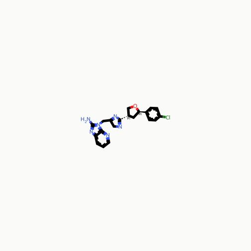 Nc1nc2cccnc2n1CC1=NC([C@@H]2CO[C@@H](c3ccc(Cl)cc3)C2)=NC1